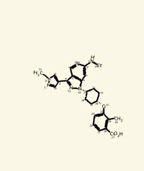 CCNc1cc2c(cn1)c(-c1cnn(C)c1)nn2[C@H]1CC[C@@H](Oc2cccc(C(=O)O)c2C)CC1